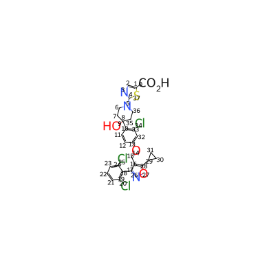 O=C(O)c1cnc(N2CCC(O)(c3ccc(OCc4c(-c5c(Cl)cccc5Cl)noc4C4CC4)cc3Cl)CC2)s1